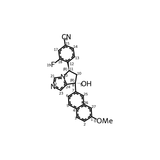 COc1ccc2ccc([C@]3(O)C[C@H](c4ccc(C#N)cc4F)n4cncc43)cc2c1